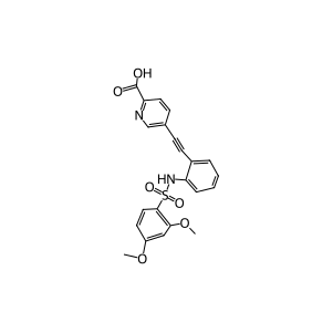 COc1ccc(S(=O)(=O)Nc2ccccc2C#Cc2ccc(C(=O)O)nc2)c(OC)c1